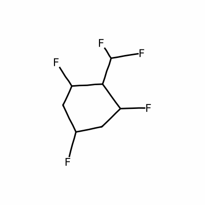 FC1CC(F)C(C(F)F)C(F)C1